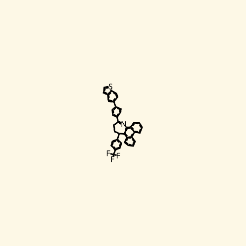 FC(F)(F)c1ccc(C2CCC(c3ccc(-c4ccc5sccc5c4)cc3)=Nc3c2c2ccccc2c2ccccc32)cc1